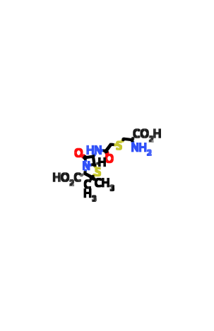 CC1(C)S[C@@H]2[C@H](NC(=O)CSCC(N)C(=O)O)C(=O)N2[C@H]1C(=O)O